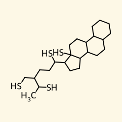 CC(S)C(CS)CCC(S)C1CCC2C3CCC4CCCCC4C3CCC12S